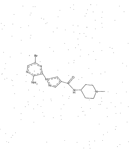 CN1CCC(NC(=O)c2cnn(-c3nc(Br)cnc3N)c2)CC1